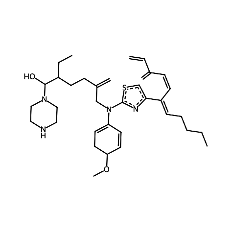 C=CC(=C)/C=C\C(=C/CCCC)c1csc(N(CC(=C)CCC(CC)C(O)N2CCNCC2)C2=CCC(OC)C=C2)n1